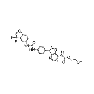 COCCOC(=O)Nc1ncnc2c1N=NC2c1ccc(NC(=O)Nc2ccc(Cl)c(C(F)(F)F)c2)cc1